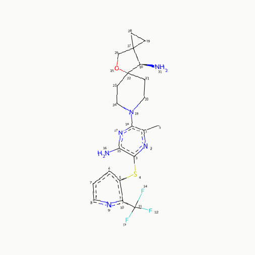 Cc1nc(Sc2cccnc2C(F)(F)F)c(N)nc1N1CCC2(CC1)OCC1(CC1)[C@H]2N